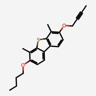 CC#CCOc1ccc2c(sc3c(C)c(OCCCC)ccc32)c1C